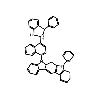 C1=Cc2c3c(n(-c4ccccc4)c2CC1)CC1C(=C3)c2ccccc2N1c1ccc(C2Nc3ccccc3C(c3ccccc3)N2)c2ccccc12